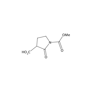 COC(=O)N1CCC(C(=O)O)C1=O